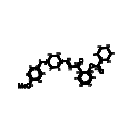 COc1ccc(CN2CCN(C=CC(=O)c3ccccc3OC(=O)N3CCCCC3)CC2)cc1